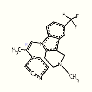 C/C(=C/n1c2c(c3cc(C(F)(F)F)ccc31)CN(C)CC2)c1ccncc1